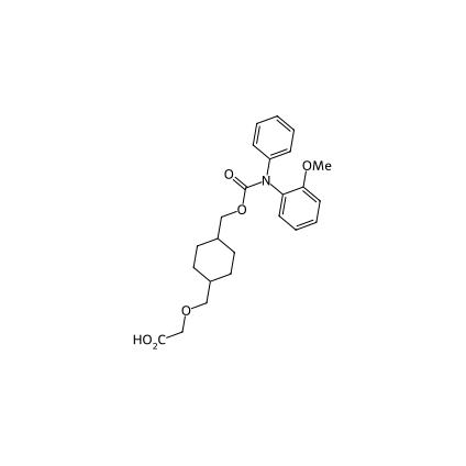 COc1ccccc1N(C(=O)OCC1CCC(COCC(=O)O)CC1)c1ccccc1